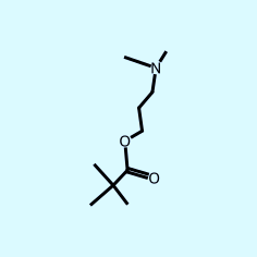 CN(C)CCCOC(=O)C(C)(C)C